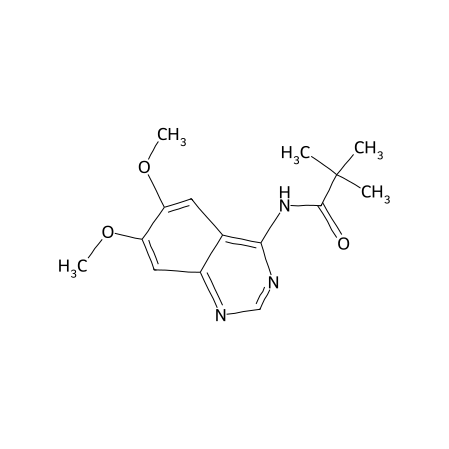 COc1cc2ncnc(NC(=O)C(C)(C)C)c2cc1OC